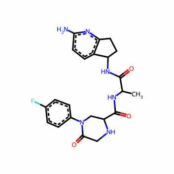 CC(NC(=O)C1CN(c2ccc(F)cc2)C(=O)CN1)C(=O)NC1CCc2nc(N)ccc21